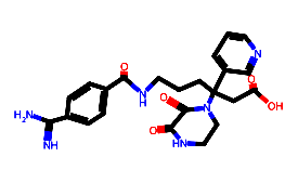 N=C(N)c1ccc(C(=O)NCCCC(CC(=O)O)(c2cccnc2)N2CCNC(=O)C2=O)cc1